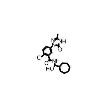 Cc1nn(-c2ccc(Cl)c(C(=O)NC(O)C3CCCCCC3)c2)c(=O)[nH]1